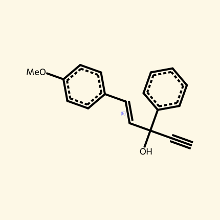 C#CC(O)(/C=C/c1ccc(OC)cc1)c1ccccc1